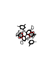 COc1cc(P(c2cc(C)cc(C)c2)c2cc(C)cc(C)c2)c(-c2c(P(c3cc(C)cc(C)c3)c3cc(C)cc(C)c3)cc(OC)c3c2OC(F)(F)O3)c2c1OC(F)(F)O2